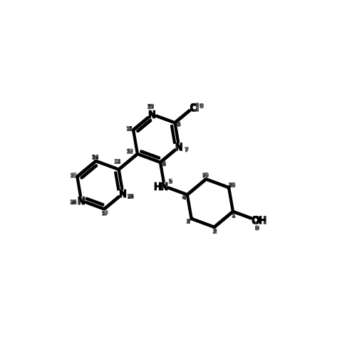 OC1CCC(Nc2nc(Cl)ncc2-c2ccncn2)CC1